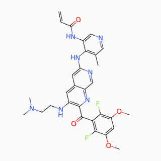 C=CC(=O)Nc1cncc(C)c1Nc1cc2cc(NCCN(C)C)c(C(=O)c3c(F)c(OC)cc(OC)c3F)nc2cn1